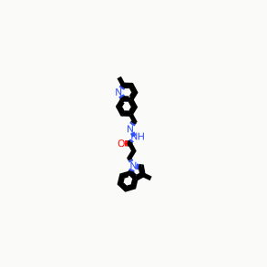 Cc1ccc2cc(C=NNC(=O)CCn3cc(C)c4ccccc43)ccc2n1